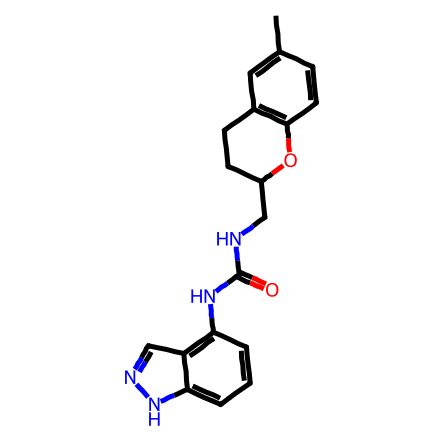 Cc1ccc2c(c1)CCC(CNC(=O)Nc1cccc3[nH]ncc13)O2